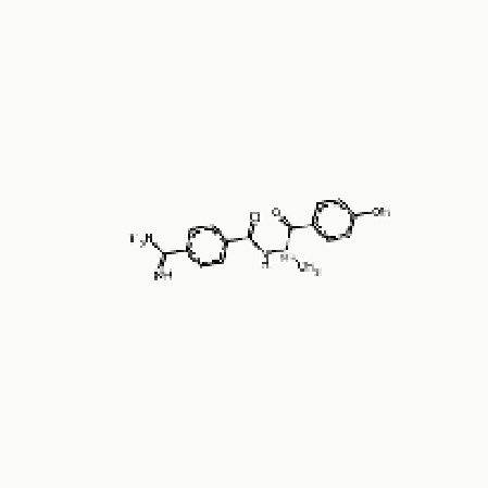 C[C@H](NC(=O)c1ccc(C(=N)N)cc1)C(=O)c1ccc(O)cc1